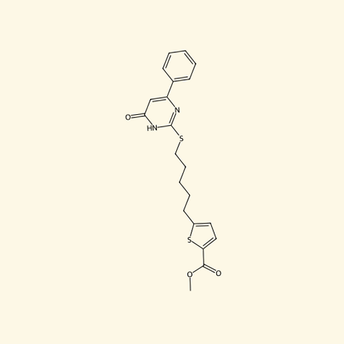 COC(=O)c1ccc(CCCCCSc2nc(-c3ccccc3)cc(=O)[nH]2)s1